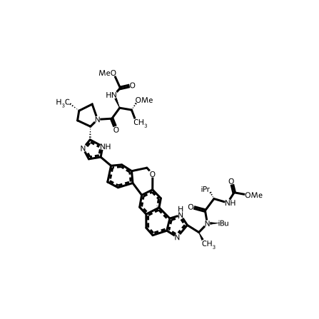 CC[C@H](C)N(C(=O)[C@@H](NC(=O)OC)C(C)C)[C@@H](C)c1nc2ccc3cc4c(cc3c2[nH]1)OCc1cc(-c2cnc([C@@H]3C[C@H](C)CN3C(=O)[C@@H](NC(=O)OC)[C@@H](C)OC)[nH]2)ccc1-4